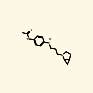 CC(=O)Nc1ccc(OCCCN2CCC3CC32)cc1.Cl